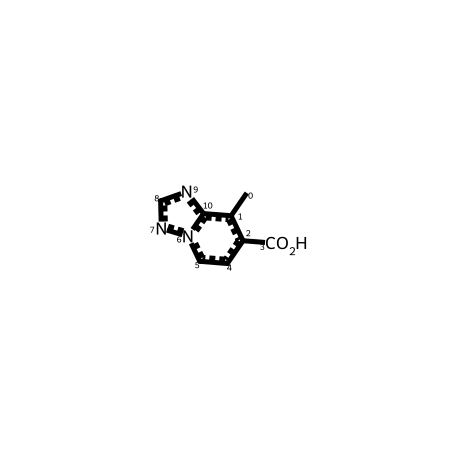 Cc1c(C(=O)O)ccn2ncnc12